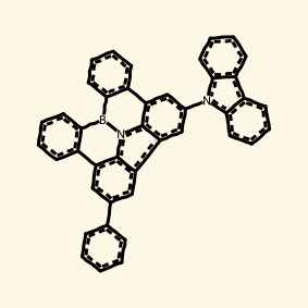 c1ccc(-c2cc3c4c(c2)c2cc(-n5c6ccccc6c6ccccc65)cc5c2n4B(c2ccccc2-3)c2ccccc2-5)cc1